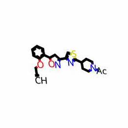 C#CCOc1ccccc1C1CC(c2csc(C3CCN(C(C)=O)CC3)n2)=NO1